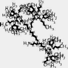 CCCCN(c1nc(NCCCN(CCCN)CCCCCCN(CCCNc2nc(N(CCCC)C3CC(C)(C)NC(C)(C)C3)nc(N(CCCC)C3CC(C)(C)NC(C)(C)C3)n2)CCCNc2nc(N(CCCC)C3CC(C)(C)NC(C)(C)C3)nc(N(CCCC)C3CC(C)(C)NC(C)(C)C3)n2)nc(N(CCCC)C2CC(C)(C)NC(C)(C)C2)n1)C1CC(C)(C)NC(C)(C)C1